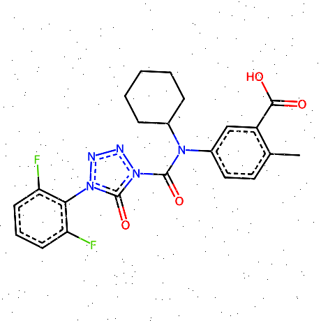 Cc1ccc(N(C(=O)n2nnn(-c3c(F)cccc3F)c2=O)C2CCCCC2)cc1C(=O)O